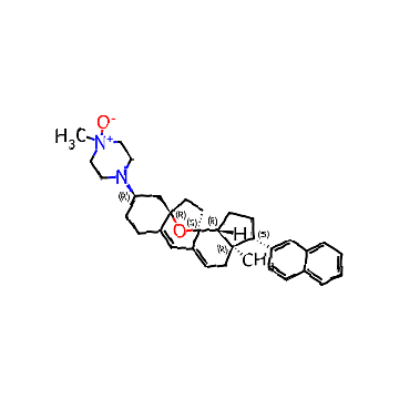 C[C@]12CC=C3C=C4CC[C@@H](N5CC[N+](C)([O-])CC5)C[C@]45CC[C@]3(O5)[C@@H]1CC[C@@H]2c1ccc2ccccc2c1